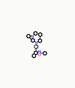 C1=C(c2cc3ccccc3c3oc(-c4ccccc4)nc23)CCC(N(c2cccc(-c3ccccc3)c2)c2ccc3c4ccccc4n(-c4ccccc4)c3c2)=C1